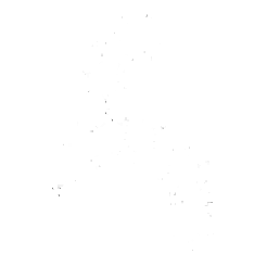 CCC1C=c2c(oc3ccc(-n4c5ccc(C#N)cc5c5cc(-c6ccc7oc8ccccc8c7c6)ccc54)cc23)=CC1